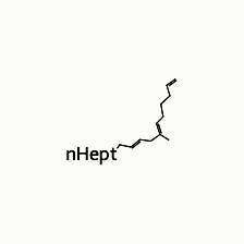 C=CCCCC=C(C)CC=CCCCCCCCC